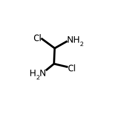 NC(Cl)C(N)Cl